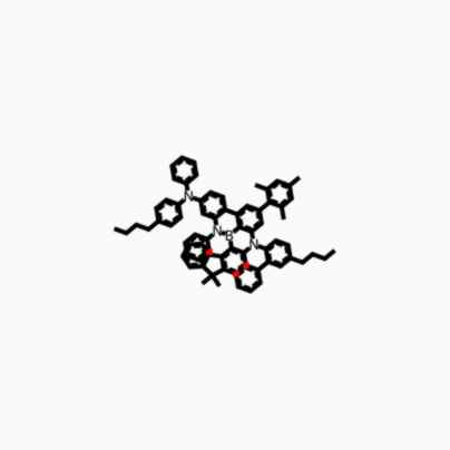 CCCCc1ccc(N(c2ccccc2)c2ccc3c(c2)N(c2ccccc2)B2c4c-3cc(-c3c(C)cc(C)cc3C)cc4N(c3ccc(CCCC)cc3-c3ccccc3)c3ccc4c(c32)-c2ccccc2C4(C)C)cc1